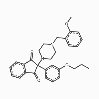 CCCOc1cccc(C2(N3CCN(Cc4ccccc4OC)CC3)C(=O)c3ccccc3C2=O)c1